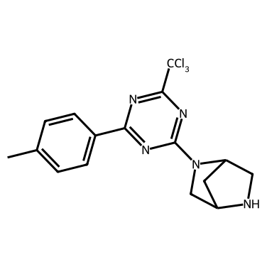 Cc1ccc(-c2nc(N3CC4CC3CN4)nc(C(Cl)(Cl)Cl)n2)cc1